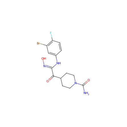 NC(=O)N1CCC(C(=O)/C(=N/O)Nc2ccc(F)c(Br)c2)CC1